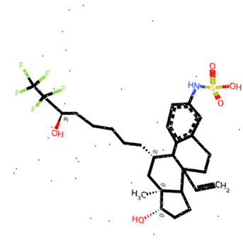 C=CC12CCc3cc(NS(=O)(=O)O)ccc3C1[C@@H](CCCCC[C@@H](O)C(F)(F)C(F)(F)F)C[C@@]1(C)C2CC[C@@H]1O